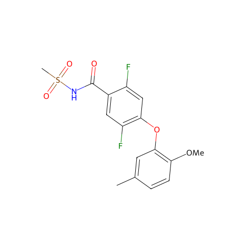 COc1ccc(C)cc1Oc1cc(F)c(C(=O)NS(C)(=O)=O)cc1F